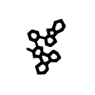 Cc1nc2c3ccccc3c3ccccc3c2nc1-c1ccccc1-c1cccc2c1oc1ccccc12